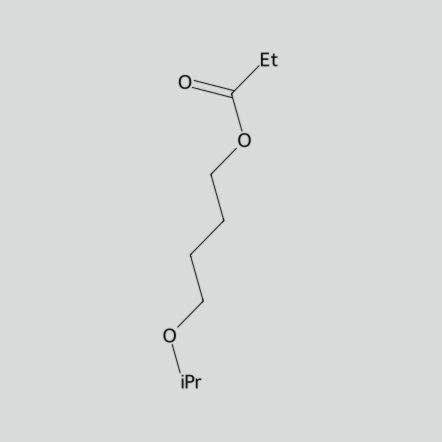 CCC(=O)OCCCCOC(C)C